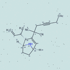 C=CC(C)[C@@H]1C(C(C#N)(C#N)CC#CCOC(C)=O)=C[C@H]2CC[C@@H]1N2